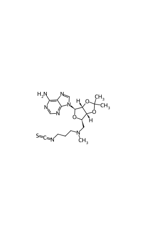 CN(CCCN=C=S)C[C@H]1O[C@@H](n2cnc3c(N)ncnc32)[C@@H]2OC(C)(C)O[C@@H]21